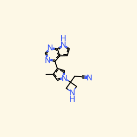 Cc1cn(C2(CC#N)CNC2)cc1-c1ncnc2[nH]ccc12